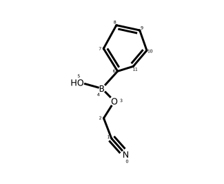 N#CCOB(O)c1ccccc1